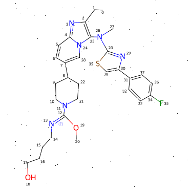 CCc1nc2ccc(C3CCN(/C(=N/CCCCO)OC)CC3)cn2c1N(C)c1nc(-c2ccc(F)cc2)cs1